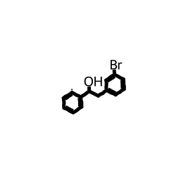 OC(Cc1cccc(Br)c1)c1[c]cccc1